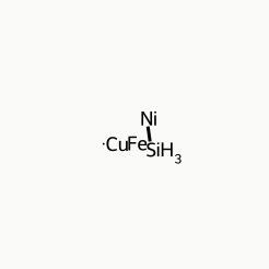 [Cu].[Fe].[SiH3][Ni]